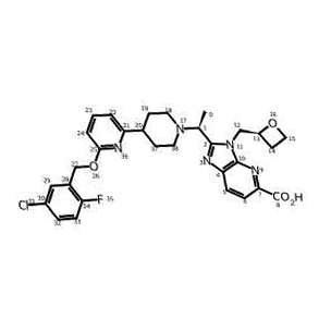 C[C@@H](c1nc2ccc(C(=O)O)nc2n1C[C@@H]1CCO1)N1CCC(c2cccc(OCc3cc(Cl)ccc3F)n2)CC1